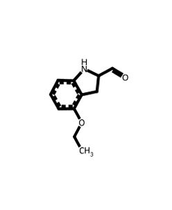 CCOc1cccc2c1CC(C=O)N2